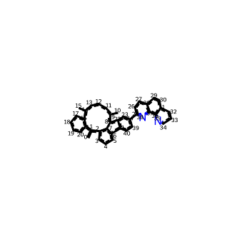 C=c1c2cccc3c2-c(c(C)cccc(C)c2ccccc12)c1cc(-c2ccc4ccc5cccnc5c4n2)ccc13